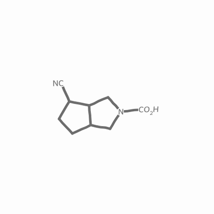 N#CC1CCC2CN(C(=O)O)CC12